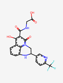 O=C(O)CNC(=O)c1c(O)c2cccc3c2n(c1=O)CC(c1ccc(C(F)(F)F)nc1)N3